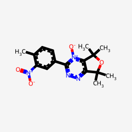 Cc1ccc(-c2nnc3c([n+]2[O-])C(C)(C)OC3(C)C)cc1[N+](=O)[O-]